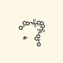 O=C(NN=Cc1ccc2c(ccc[n+]2Cc2ccccc2)c1)c1ccc2ccc3ccc(C(=O)NN=Cc4ccc5c(ccc[n+]5Cc5ccccc5)c4)nc3c2n1.[Br-].[Br-]